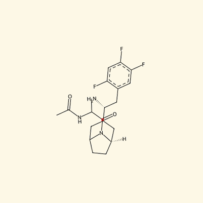 CC(=O)NC(C)C(=O)N1C2CC[C@@H]1CC([C@H](N)Cc1cc(F)c(F)cc1F)C2